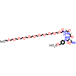 COCCOCCOCCOCCOCCOCCOCCOCCOCCOCCOCCOCC(=O)N[C@H](C)C(=O)N[C@H](C)C(=O)N[C@H](CC(N)=O)C(=O)Nc1ccc(COC(=O)O)cc1